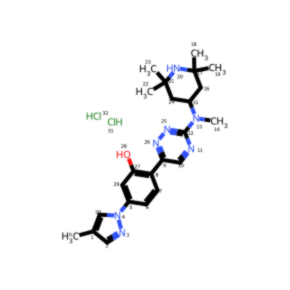 Cc1cnn(-c2ccc(-c3cnc(N(C)C4CC(C)(C)NC(C)(C)C4)nn3)c(O)c2)c1.Cl.Cl